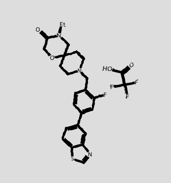 CCN1CC2(CCN(Cc3ccc(-c4ccc5scnc5c4)cc3F)CC2)OCC1=O.O=C(O)C(F)(F)F